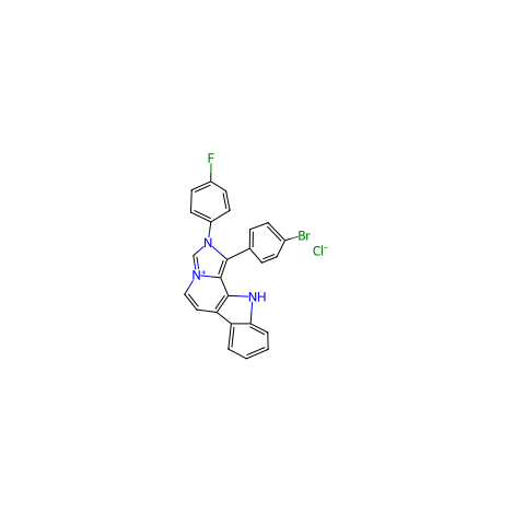 Fc1ccc(-n2c[n+]3ccc4c5ccccc5[nH]c4c3c2-c2ccc(Br)cc2)cc1.[Cl-]